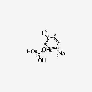 Fc1cc[c]([Na])cc1.OB(O)O